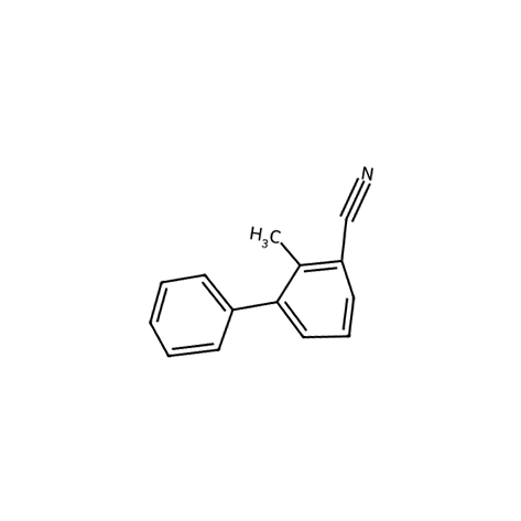 Cc1c(C#N)cccc1-c1ccccc1